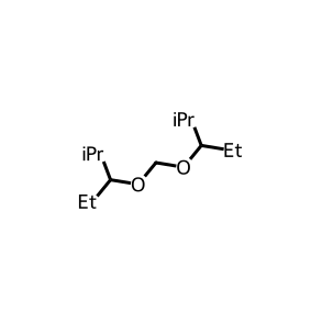 CCC(OCOC(CC)C(C)C)C(C)C